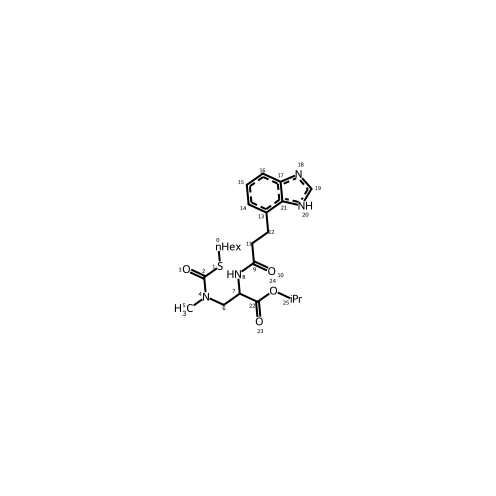 CCCCCCSC(=O)N(C)CC(NC(=O)CCc1cccc2nc[nH]c12)C(=O)OC(C)C